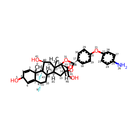 C[C@]12C=CC(O)C=C1[C@@H](F)C[C@H]1[C@@H]3C[C@H]4O[C@@H](c5ccc(Oc6ccc(N)cc6)cc5)O[C@@]4(C(=O)CO)[C@@]3(C)C[C@H](O)[C@@]12F